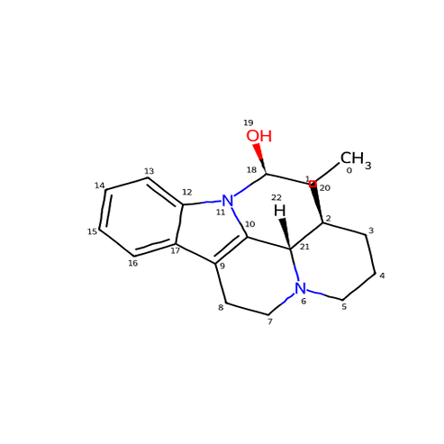 CC[C@]12CCCN3CCc4c(n(c5ccccc45)[C@@H](O)C1)[C@@H]32